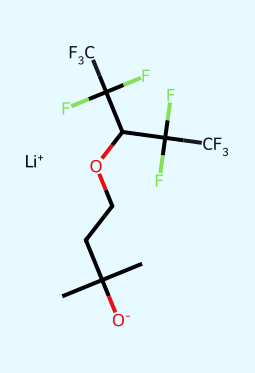 CC(C)([O-])CCOC(C(F)(F)C(F)(F)F)C(F)(F)C(F)(F)F.[Li+]